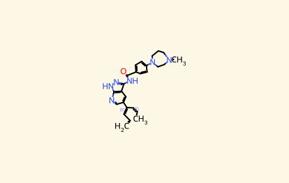 C=C/C=C(\C=C/C)c1cnc2[nH]nc(NC(=O)c3ccc(N4CCCN(C)CC4)cc3)c2c1